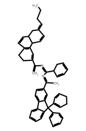 C=C(/N=C(\N=C(/C)c1ccc2c(c1)C(C1=CCCC=C1)(c1ccccc1)c1ccccc1-2)C1C=CC=CC1)C1=CC2=C(C=CC3C/C(=C\CCC)C=CC23)CC1